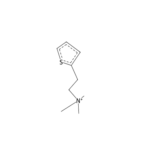 C[N+](C)(C)CCc1cccs1